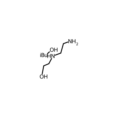 CCC(C)O.NCCNCCO